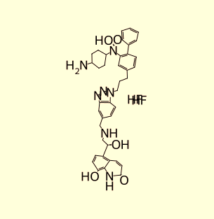 F.F.NC1CCC(N(C(=O)O)c2cc(CCCn3nnc4cc(CNC[C@@H](O)c5ccc(O)c6[nH]c(=O)ccc56)ccc43)ccc2-c2ccccc2)CC1